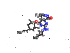 Cc1cc(/C=C/C#N)cc(C)c1Oc1nc(NC23CC(C#N)(C2)C3)nc2c1[C@@H](C(F)(F)F)NC2=O